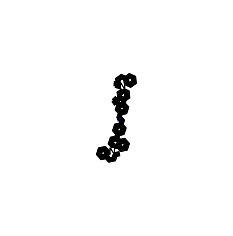 CC1CCc2ccccc2N1c1ccc(-c2ccc(/C=C/c3ccc4c(c3)C(C)(C)C3C=C(N5C6=C(CCC=C6)CCC5(C)C)C=CC43)cc2)c2ccccc12